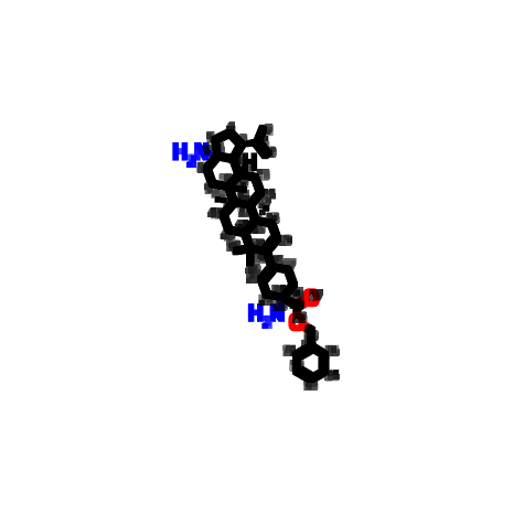 C=C(C)[C@@H]1CC[C@]2(N)CC[C@]3(C)[C@H](CCC4[C@@]5(C)CC=C(C6=CC[C@](N)(C(=O)OCc7ccccc7)CC6)C(C)(C)C5CC[C@]43C)C12